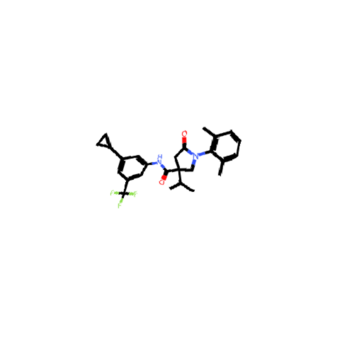 Cc1cccc(C)c1N1CC(C(=O)Nc2cc(C3CC3)cc(C(F)(F)F)c2)(C(C)C)CC1=O